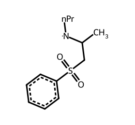 CCC[N]C(C)CS(=O)(=O)c1ccccc1